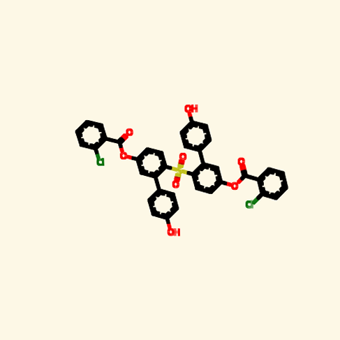 O=C(Oc1ccc(S(=O)(=O)c2ccc(OC(=O)c3ccccc3Cl)cc2-c2ccc(O)cc2)c(-c2ccc(O)cc2)c1)c1ccccc1Cl